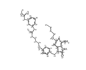 CCCCOc1nc(N)c2[nH]c(=O)n(Cc3ccc(OCCCCN(C)Cc4cccc(CC(=O)OC)c4)nc3)c2n1